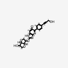 OCC#Cc1ccc(-c2nc3nc(OC4CO[C@@H]5C(O)CO[C@H]45)[nH]c3cc2Cl)cc1